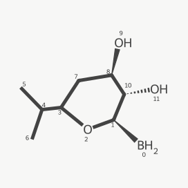 B[C@H]1OC(C(C)C)C[C@@H](O)[C@@H]1O